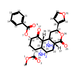 COC(=O)[C@@H]1C[C@H](OC(=O)c2ccccc2)C(=O)[C@H]2[C@@]1(N)CC[C@H]1C(=O)O[C@H](c3ccoc3)C[C@]21N